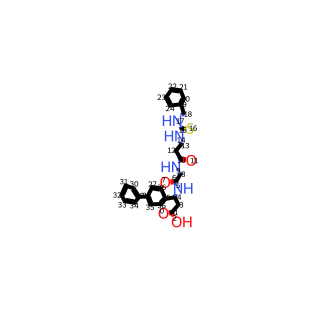 O=C(O)CC(NC(=O)CNC(=O)CCNC(=S)NCc1ccccc1)c1ccc(-c2ccccc2)cc1